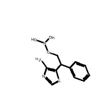 Cc1ncsc1C(CON(O)O)c1ccccc1